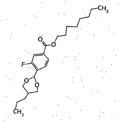 CCCCCCCCOC(=O)c1ccc(C2OCC(CCC)CO2)c(F)c1